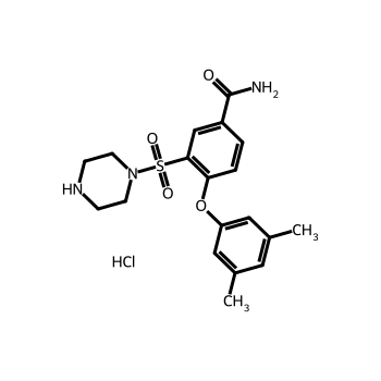 Cc1cc(C)cc(Oc2ccc(C(N)=O)cc2S(=O)(=O)N2CCNCC2)c1.Cl